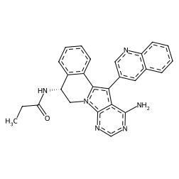 CCC(=O)N[C@H]1Cn2c(c(-c3cnc4ccccc4c3)c3c(N)ncnc32)-c2ccccc21